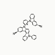 N#Cc1ccc2c(c1)c1ccccc1n2-c1cccc(-n2c3ccc(C#N)cc3c3c4c5ccccc5n(-c5ccccc5)c4ccc32)n1